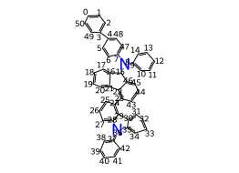 c1ccc(-c2ccc(N(c3ccccc3)C3c4ccccc4-c4c(-c5cccc6c5c5ccccc5n6-c5ccccc5)cccc43)cc2)cc1